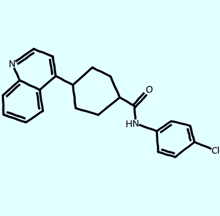 O=C(Nc1ccc(Cl)cc1)C1CCC(c2ccnc3ccccc23)CC1